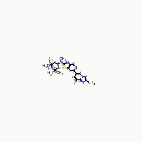 Cc1cn2cc(-c3cc4sc(N(C)C5CC(C)(C)NC(C)(C)C5)nc4cn3)cc(F)c2n1